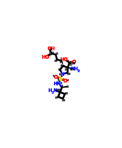 C[C@H](NS(=O)(=O)N1C[C@H](CCCB(O)O)[C@](N)(C(=O)O)C1)C1(N)CCC1